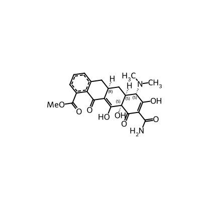 COC(=O)c1cccc2c1C(=O)C1=C(O)[C@]3(O)C(=O)C(C(N)=O)=C(O)[C@@H](N(C)C)[C@@H]3C[C@@H]1C2